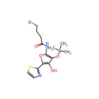 C[Si](C)(C)Oc1c(NC(=O)CCCBr)oc(-c2nccs2)c1O